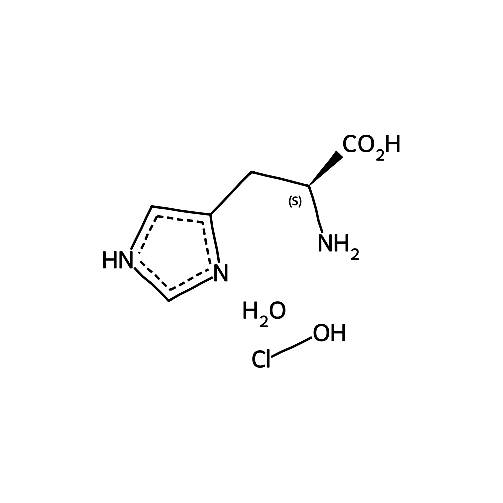 N[C@@H](Cc1c[nH]cn1)C(=O)O.O.OCl